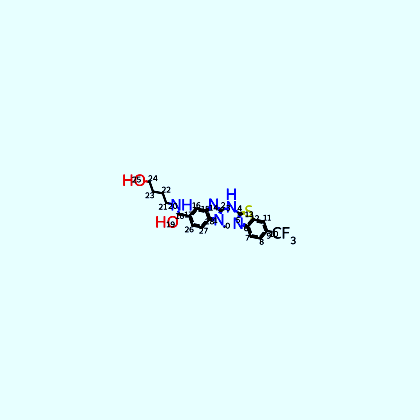 Cn1c(Nc2nc3ccc(C(F)(F)F)cc3s2)nc2cc(C(O)NCCCCO)ccc21